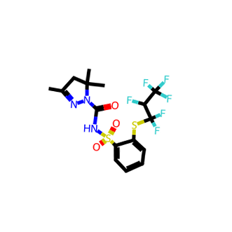 CC1=NN(C(=O)NS(=O)(=O)c2ccccc2SC(F)(F)C(F)C(F)(F)F)C(C)(C)C1